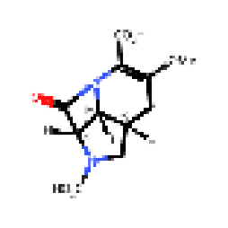 COC1=C(C(=O)O)N2C(=O)[C@@H]3[C@H]2[C@H](C1)CN3C(=O)O